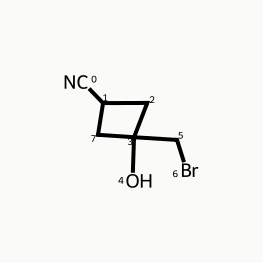 N#CC1CC(O)(CBr)C1